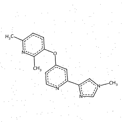 Cc1ccc(Oc2ccnc(-c3cn(C)cn3)c2)c(C)n1